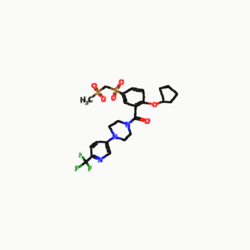 CS(=O)(=O)CS(=O)(=O)c1ccc(OC2CCCC2)c(C(=O)N2CCN(c3ccc(C(F)(F)F)nc3)CC2)c1